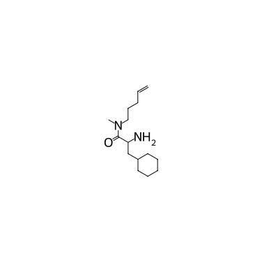 C=CCCCN(C)C(=O)C(N)CC1CCCCC1